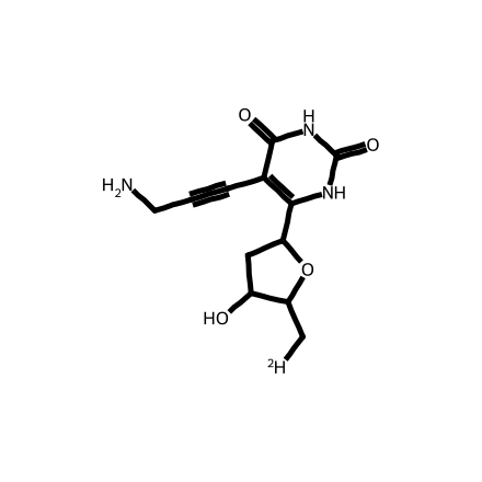 [2H]CC1OC(c2[nH]c(=O)[nH]c(=O)c2C#CCN)CC1O